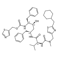 CC(C)[C@H](NC(=O)N(C)Cc1csc(CC2CCCCC2)n1)C(=O)N[C@@H](Cc1ccccc1)C[C@H](O)[C@H](Cc1ccccc1)NC(=O)OCc1cncs1